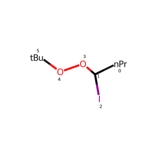 CCCC(I)OOC(C)(C)C